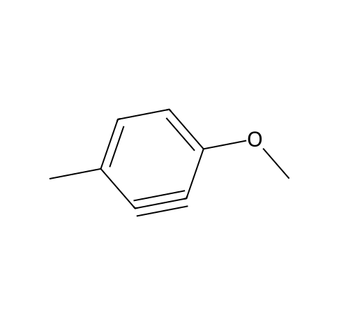 COc1c#cc(C)cc1